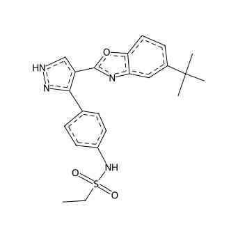 CCS(=O)(=O)Nc1ccc(-c2n[nH]cc2-c2nc3cc(C(C)(C)C)ccc3o2)cc1